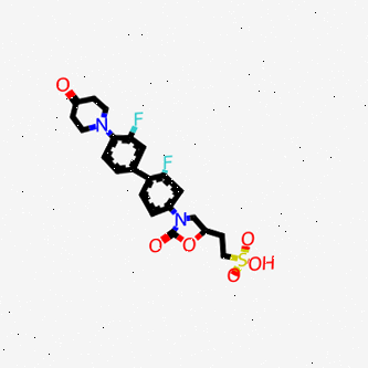 O=C1CCN(c2ccc(-c3ccc(N4CC(CCS(=O)(=O)O)OC4=O)cc3F)cc2F)CC1